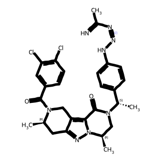 CC(=N)/N=N\Nc1ccc([C@H](C)N2C[C@@H](C)n3nc4c(c3C2=O)CN(C(=O)c2ccc(Cl)c(Cl)c2)[C@H](C)C4)cc1